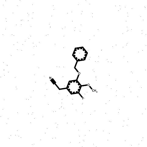 COc1c(F)cc(CC#N)cc1OCc1ccccc1